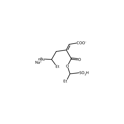 CCCCC(CC)CC(=CC(=O)[O-])C(=O)OC(CC)S(=O)(=O)O.[Na+]